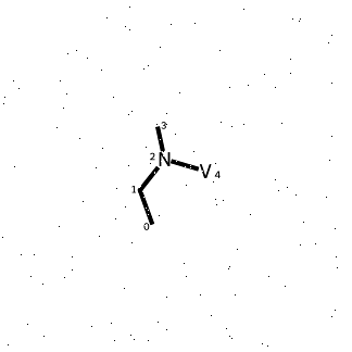 CC[N](C)[V]